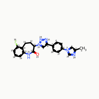 Cc1cn(-c2ccc(-c3cn(C4CCc5c(F)cccc5NC4=O)nn3)cc2)cn1